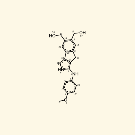 COc1ccc(Nc2[nH]nc3c2Cc2cc(CO)c(CO)cc2-3)cc1